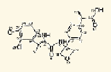 Cc1c(C(=O)NC2(c3ccc([C@@H](C)C(=O)O)cc3)COC2)[nH]c2ccc(Cl)c(Cl)c12